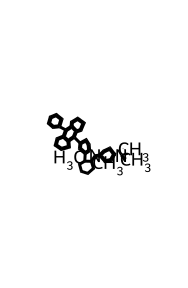 CN(C)c1ccc(N2c3ccc(-c4c5ccccc5c(-c5ccccc5)c5ccccc45)cc3C3(C)CCCCC23C)cc1